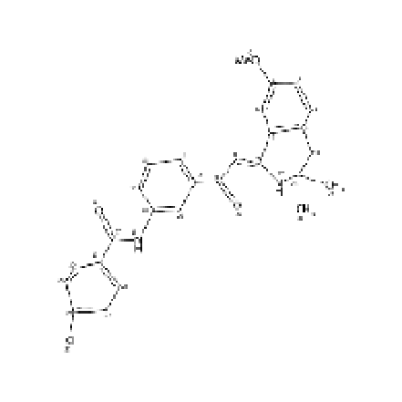 COc1ccc2c(c1)C(=CC(=O)c1cccc(NC(=O)c3ccc(Cl)cc3)c1)NC(C)(C)C2